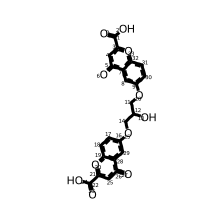 O=C(O)c1cc(=O)c2cc(OCC(O)COc3ccc4oc(C(=O)O)cc(=O)c4c3)ccc2o1